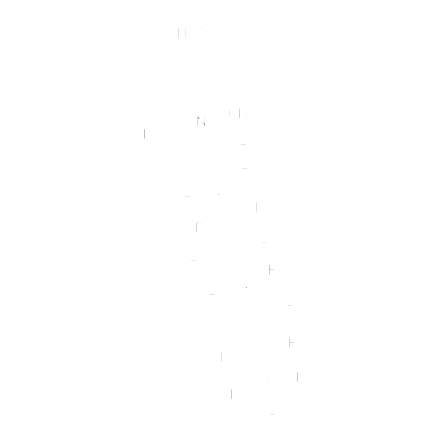 CCC[N+](C)(C)C(F)(F)C(F)(F)C(F)(F)C(F)(F)C(F)(F)C(F)(F)C(F)(F)C(F)(F)F